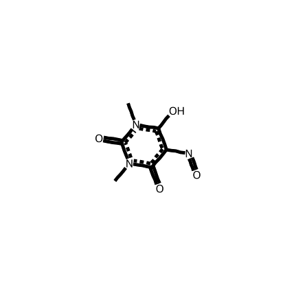 Cn1c(O)c(N=O)c(=O)n(C)c1=O